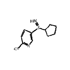 N=S(c1ccc(Cl)nc1)C1CCCC1